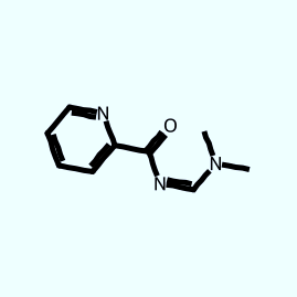 CN(C)/C=N\C(=O)c1ccccn1